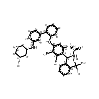 O=[SH](=O)NC(c1cccnc1C(F)(F)F)c1c(F)cc(Oc2ncccc2-c2ccnc(N[C@@H]3CNC[C@@H](F)C3)n2)c(F)c1F